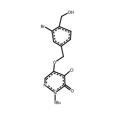 CC(C)(C)n1ncc(OCc2ccc(CO)c(Br)c2)c(Cl)c1=O